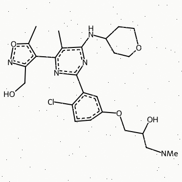 CNCC(O)COc1ccc(Cl)c(-c2nc(NC3CCOCC3)c(C)c(-c3c(CO)noc3C)n2)c1